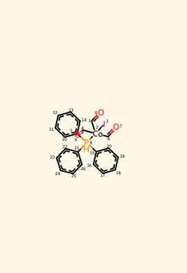 O=[CH][Co]([I])([CH]=O)([CH]=O)[PH](c1ccccc1)(c1ccccc1)c1ccccc1